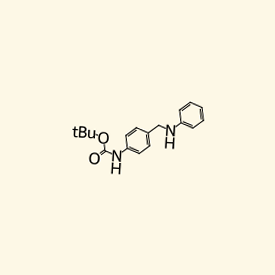 CC(C)(C)OC(=O)Nc1ccc(CNc2ccccc2)cc1